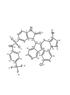 O=C1Nc2ccc(S(=O)(=O)Nc3ccc(C(F)(F)F)cc3)cc2C1C1C(Cc2c(Br)cnn2-c2ccc(Cl)cc2)=Cc2ccccc21